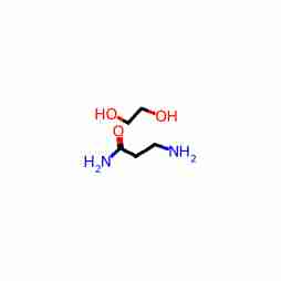 NCCC(N)=O.OCCO